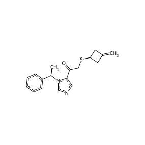 C=C1CC(SCC(=O)c2cncn2[C@H](C)c2ccccc2)C1